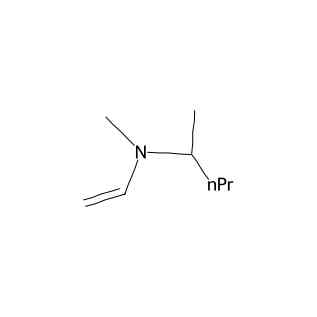 C=CN(C)C(C)CCC